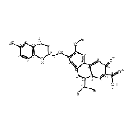 COc1cc2c(cc1OCC1COc3cc(F)ccc3O1)CC(C(C)C)n1cc(C(=O)O)c(=O)cc1-2